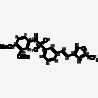 COc1ccc(NS(=O)(=O)c2cccc(/C=C/c3noc(C(F)(F)F)n3)c2)cc1OC